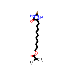 C=C(C)C(=O)OCCCCCCCCCCC1NC(=S)NC1=O